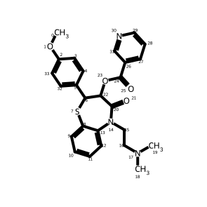 COc1ccc(C2Sc3ccccc3N(CCN(C)C)C(=O)C2OC(=O)c2cccnc2)cc1